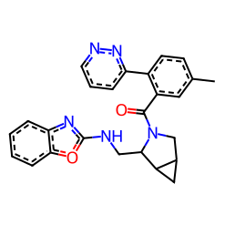 Cc1ccc(-c2cccnn2)c(C(=O)N2CC3CC3C2CNc2nc3ccccc3o2)c1